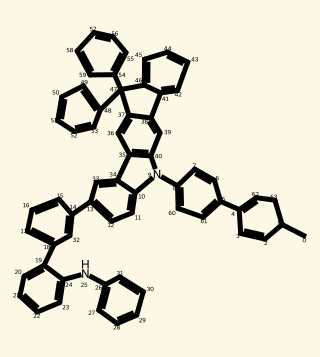 CC1C=CC(c2ccc(-n3c4ccc(-c5cccc(-c6ccccc6Nc6ccccc6)c5)cc4c4cc5c(cc43)-c3ccccc3C5(c3ccccc3)c3ccccc3)cc2)=CC1